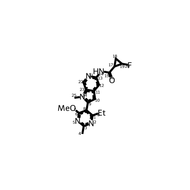 CCc1nc(C)nc(OC)c1-c1cc2cc(NC(=O)C3CC3F)ncc2n1C